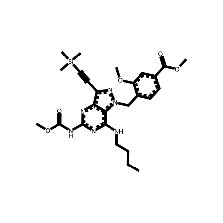 CCCCNc1nc(NC(=O)OC)nc2c(C#C[Si](C)(C)C)nn(Cc3ccc(C(=O)OC)cc3OC)c12